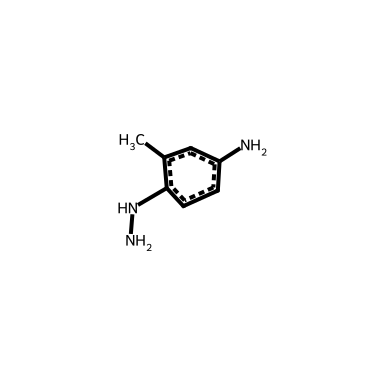 Cc1cc(N)ccc1NN